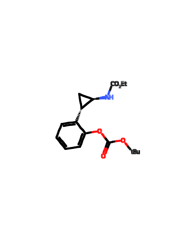 CCOC(=O)N[C@@H]1C[C@H]1c1ccccc1OC(=O)OC(C)(C)C